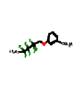 CC(F)(F)C(F)(F)C(F)(F)COc1cccc(C(=O)O)c1